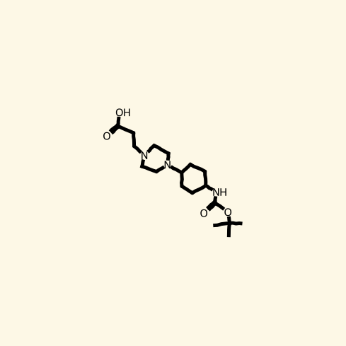 CC(C)(C)OC(=O)NC1CCC(N2CCN(CCC(=O)O)CC2)CC1